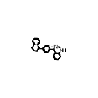 C1=CC2=C(CC1)NCNC2c1ccc(-c2cccc3ccccc23)cc1